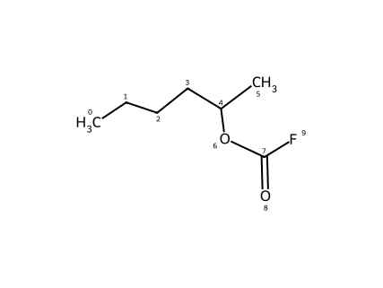 CCCCC(C)OC(=O)F